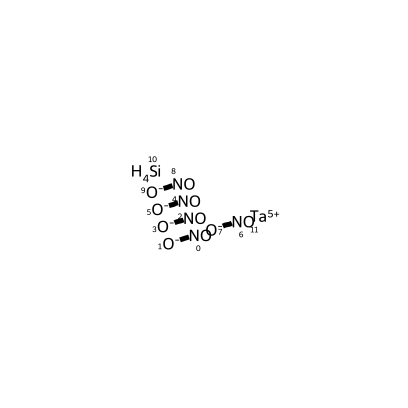 O=N[O-].O=N[O-].O=N[O-].O=N[O-].O=N[O-].[SiH4].[Ta+5]